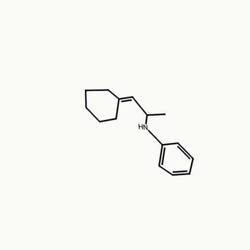 CC(C=C1CCCCC1)Nc1ccccc1